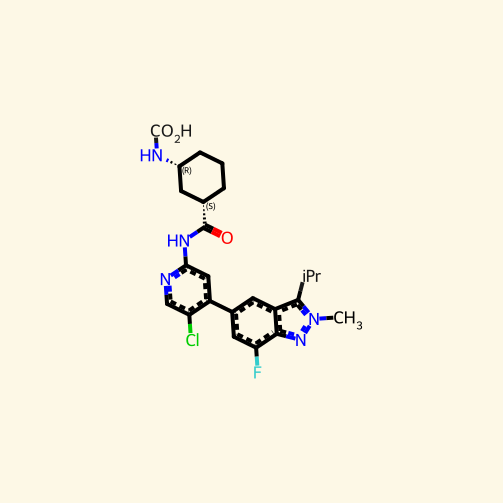 CC(C)c1c2cc(-c3cc(NC(=O)[C@H]4CCC[C@@H](NC(=O)O)C4)ncc3Cl)cc(F)c2nn1C